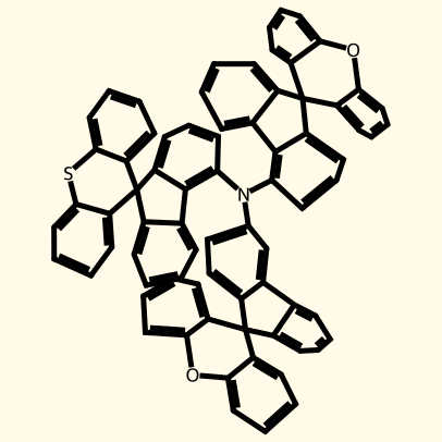 c1ccc2c(c1)Oc1ccccc1C21c2ccccc2-c2cc(N(c3cccc4c3-c3ccccc3C43c4ccccc4Oc4ccccc43)c3cccc4c3-c3ccccc3C43c4ccccc4Sc4ccccc43)ccc21